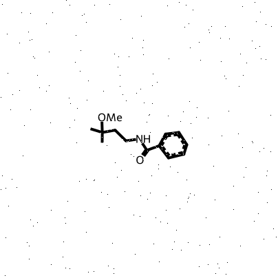 COC(C)(C)CCNC(=O)c1ccccc1